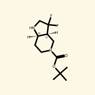 CC(C)(C)OC(=O)N1CC[C@H]2NCC(F)(F)[C@H]2C1